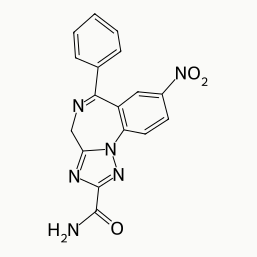 NC(=O)c1nc2n(n1)-c1ccc([N+](=O)[O-])cc1C(c1ccccc1)=NC2